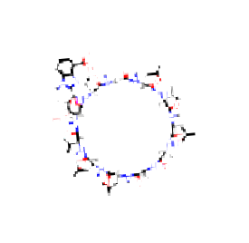 CC[C@@H]1NC(=O)[C@H]([C@H](O)[C@H](C)Cc2nc3c(C(=O)O)cccc3n2C)N(C)C(=O)[C@H](C(C)C)N(C)C(=O)[C@H](CC(C)C)N(C)C(=O)[C@H](CC(C)C)N(C)C(=O)[C@@H](C)NC(=O)[C@H](C)NC(=O)[C@H](CC(C)C)N(C)C(=O)[C@H](C(C)C)NC(=O)[C@H](CC(C)C)N(C)C(=O)CN(C)C1=O